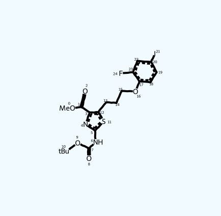 COC(=O)c1nc(NC(=O)OC(C)(C)C)sc1CCCOc1ccc(I)cc1F